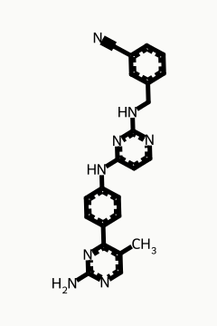 Cc1cnc(N)nc1-c1ccc(Nc2ccnc(NCc3cccc(C#N)c3)n2)cc1